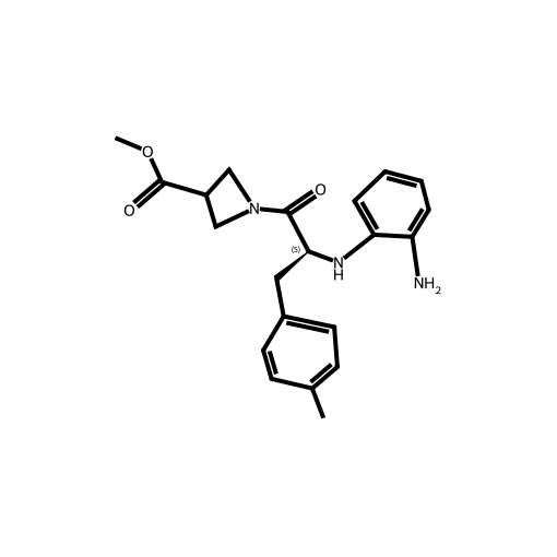 COC(=O)C1CN(C(=O)[C@H](Cc2ccc(C)cc2)Nc2ccccc2N)C1